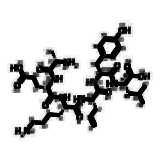 C=CC[C@H](NC(=O)[C@H](CCCCN)NC(=O)[C@H](CCC(=O)O)NC(=O)[C@H](C)N)C(=O)N[C@@H](Cc1ccc(O)cc1)C(=O)N[C@@H](CC(C)C)C(=O)O